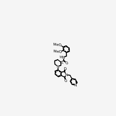 COc1cccc(CNC(=O)[C@@H]2CCCN(c3cccc4c3C(=O)N(Cc3ccncc3)C4=O)C2)c1OC